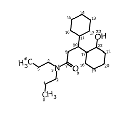 CCCN(CCC)C(=O)CC(C1CCCCC1)C1CCCCC1O